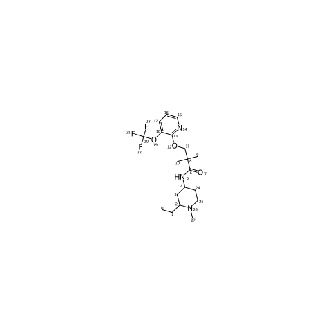 CCC1CC(NC(=O)C(C)(C)COc2ncccc2OC(F)(F)F)CCN1C